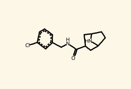 O=C(NCc1cccc(Cl)c1)C1CC2CCC(C1)N2